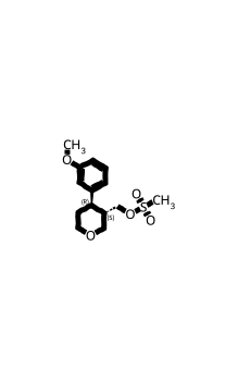 COc1cccc([C@@H]2CCOC[C@H]2COS(C)(=O)=O)c1